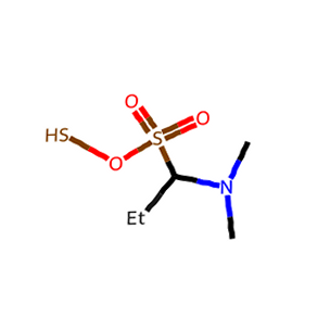 CCC(N(C)C)S(=O)(=O)OS